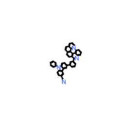 N#Cc1ccc2c(c1)c1cc(-c3cccc(-c4nc5ccccc5c5c4ccc4ccc6cccnc6c45)c3)ccc1n2-c1ccccc1